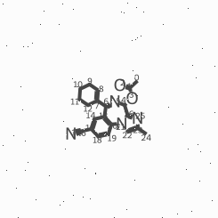 CC(=O)OC1N=C(C2=CCCCC2)c2cc(C#N)ccc2-n2cc(C)nc21